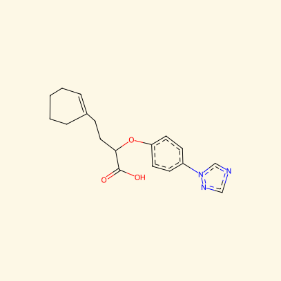 O=C(O)C(CCC1=CCCCC1)Oc1ccc(-n2cncn2)cc1